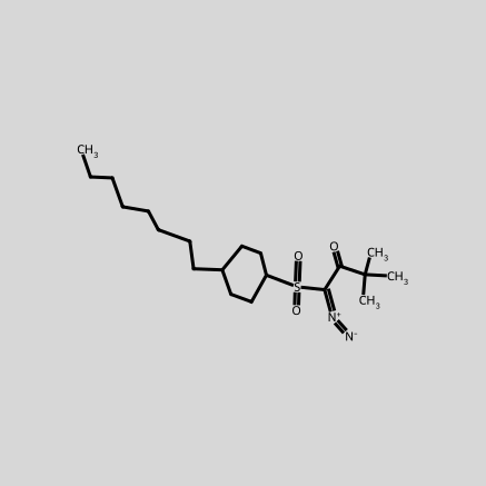 CCCCCCCCC1CCC(S(=O)(=O)C(=[N+]=[N-])C(=O)C(C)(C)C)CC1